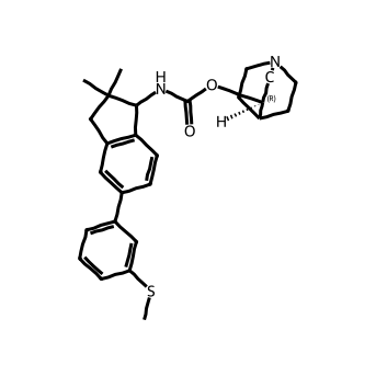 CSc1cccc(-c2ccc3c(c2)CC(C)(C)C3NC(=O)O[C@H]2CN3CCC2CC3)c1